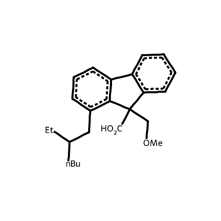 CCCCC(CC)Cc1cccc2c1C(COC)(C(=O)O)c1ccccc1-2